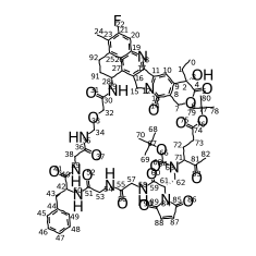 CC[C@@]1(O)C(=O)OCc2c1cc1n(c2=O)Cc2c-1nc1cc(F)c(C)c3c1c2[C@@H](NC(=O)COCNC(=O)CNC(=O)[C@H](Cc1ccccc1)NC(=O)CNC(=O)CNC(=O)[C@H](CN(C(=O)OC(C)(C)C)C(CCC(=O)OC(C)(C)C)C(C)=O)N1C(=O)C=CC1=O)CC3